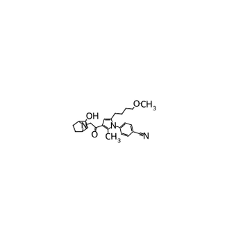 COCCCCc1cc(C(=O)CN2C3CCC2[C@@H](O)C3)c(C)n1-c1ccc(C#N)cc1